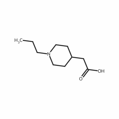 CCCN1CCC(CC(=O)O)CC1